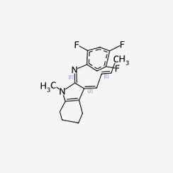 C/C=C/C=C1/C2=C(CCCC2)N(C)/C1=N/c1cc(F)c(F)cc1F